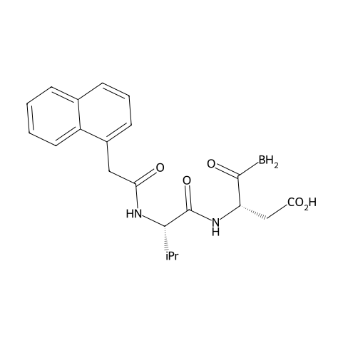 BC(=O)[C@H](CC(=O)O)NC(=O)[C@@H](NC(=O)Cc1cccc2ccccc12)C(C)C